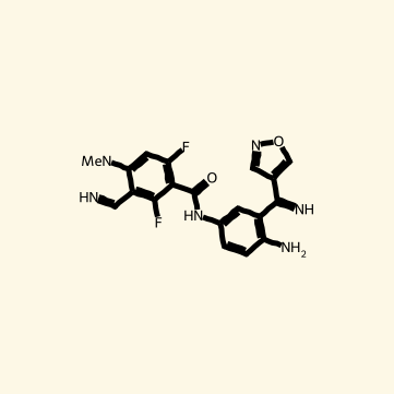 CNc1cc(F)c(C(=O)Nc2ccc(N)c(C(=N)c3cnoc3)c2)c(F)c1C=N